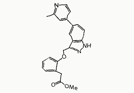 COC(=O)Cc1ccccc1OCc1n[nH]c2ccc(-c3ccnc(C)c3)cc12